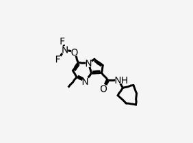 Cc1cc(ON(F)F)n2ccc(C(=O)NC3CCCCC3)c2n1